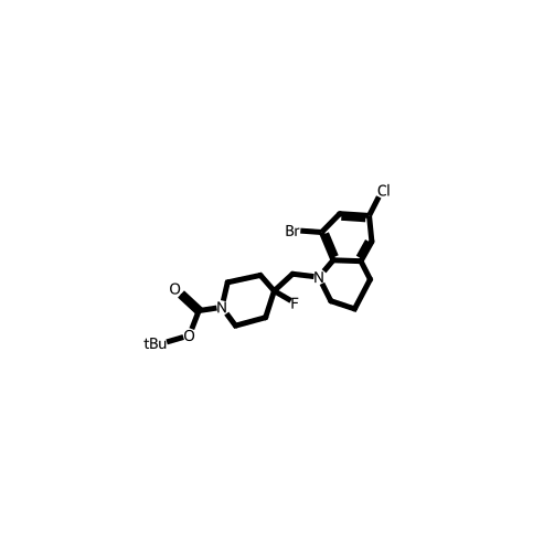 CC(C)(C)OC(=O)N1CCC(F)(CN2CCCc3cc(Cl)cc(Br)c32)CC1